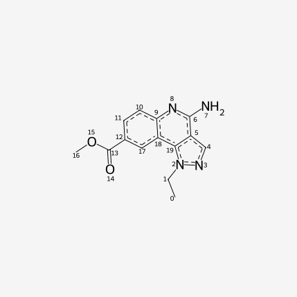 CCn1ncc2c(N)nc3ccc(C(=O)OC)cc3c21